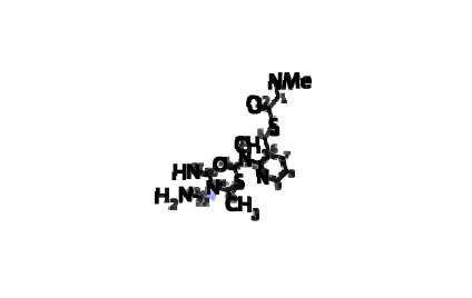 CNCC(=O)SCc1cccnc1N(C)C(=O)SC(C)/[N+](C=N)=C/N